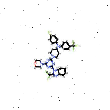 Fc1ccc(N(c2ccc(C(F)(F)F)cc2)C2CCN(c3nc(N4CCOCC4)nc(-n4c(C(F)F)nc5ccccc54)n3)CC2)cc1